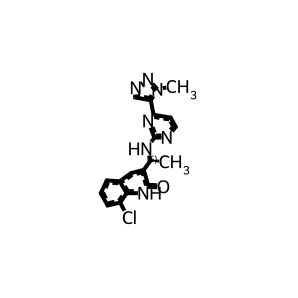 C[C@H](Nc1nccc(-c2cnnn2C)n1)c1cc2cccc(Cl)c2[nH]c1=O